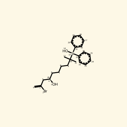 C=C(Br)C[C@H](O)CCCCC(C)(C)[Si](O)(c1ccccc1)c1ccccc1